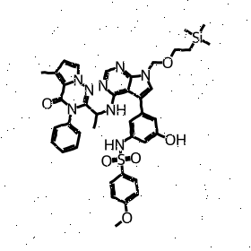 COc1ccc(S(=O)(=O)Nc2cc(O)cc(-c3cn(COCC[Si](C)(C)C)c4ncnc(NC(C)c5nn6ccc(C)c6c(=O)n5-c5ccccc5)c34)c2)cc1